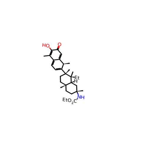 CCOC(=O)N[C@]1(C)CC[C@]2(C)CC[C@](C)(C3=CC=C4C(=CC(=O)C(O)=C4C)[C@H]3C)[C@@](C)(CC)[C@@H]2C1